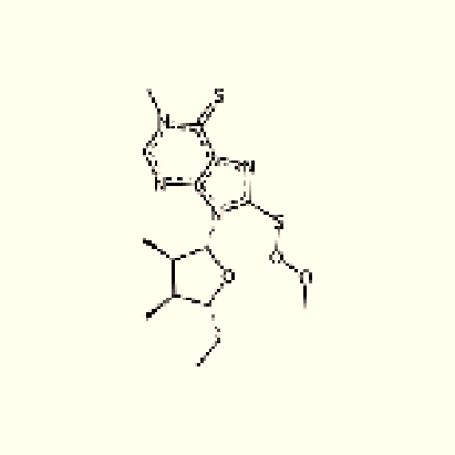 CC[C@H]1O[C@@H](n2c(SOOC)nc3c(=S)n(C)cnc32)[C@H](C)[C@@H]1C